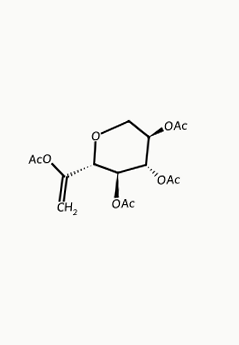 C=C(OC(C)=O)[C@@H]1OC[C@@H](OC(C)=O)[C@H](OC(C)=O)[C@H]1OC(C)=O